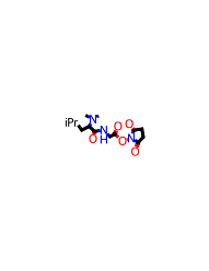 CC(C)CC(C(=O)NCC(=O)ON1C(=O)CCC1=O)N(C)C